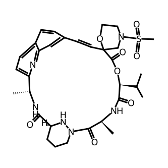 CC(C)[C@@H]1OC(=O)C2(/C=C/c3ccc4ccc(nc4c3)[C@@H](C)NC(=O)[C@@H]3CCCN(N3)C(=O)[C@H](C)NC1=O)CN(S(C)(=O)=O)CCO2